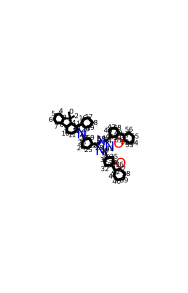 CC1(C)c2ccccc2-c2ccc3c(c21)c1ccccc1n3-c1cccc(-c2nc(-c3ccc4c(c3)oc3ccccc34)nc(-c3cccc4c3oc3ccccc34)n2)c1